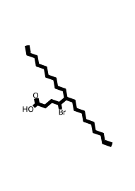 C=CCCCCCCCC(CCCCCCCC=C)C(Br)CCC(=O)O